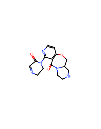 O=C1C=NCCN1c1nccc2c1C(=O)N1CCNCC1CO2